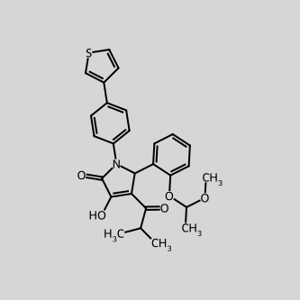 COC(C)Oc1ccccc1C1C(C(=O)C(C)C)=C(O)C(=O)N1c1ccc(-c2ccsc2)cc1